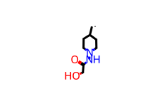 [CH2]C1CCN(NC(=O)CO)CC1